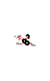 CC(C)(C)Oc1ccc2c(OC(C)(C)C)ccc([S+]3CCCC3)c2c1.O=S(=O)([O-])C(F)(F)F